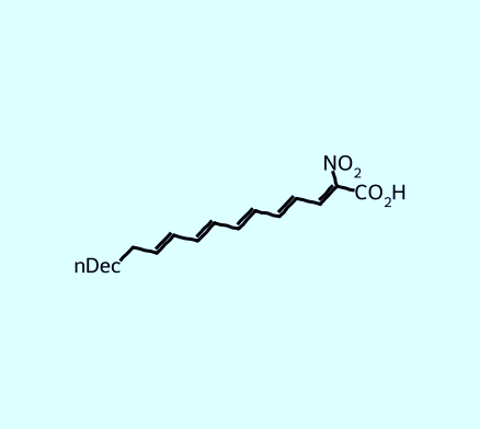 CCCCCCCCCCCC=CC=CC=CC=CC=C(C(=O)O)[N+](=O)[O-]